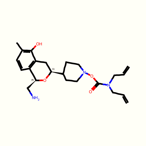 C=CCN(CC=C)C(=O)ON1CCC([C@@H]2Cc3c(ccc(C)c3O)[C@H](CN)O2)CC1